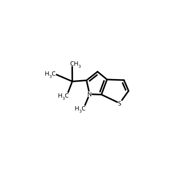 Cn1c(C(C)(C)C)cc2ccsc21